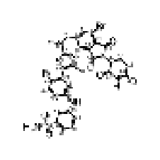 Cc1nc(N(C)Cc2cc(Br)c3c(c2)C(=O)N(C2CCC(=O)NC2=O)C3=O)sc1-c1nc(Nc2cccc(S(N)(=O)=O)c2)ncc1F